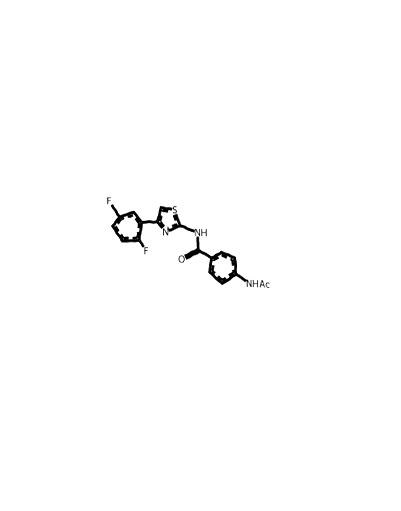 CC(=O)Nc1ccc(C(=O)Nc2nc(-c3cc(F)ccc3F)cs2)cc1